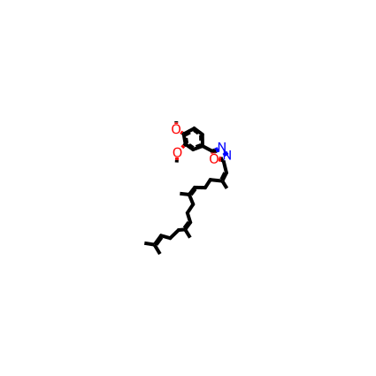 COc1ccc(-c2nnc(C=C(C)CCC=C(C)CCC=C(C)CCC=C(C)C)o2)cc1OC